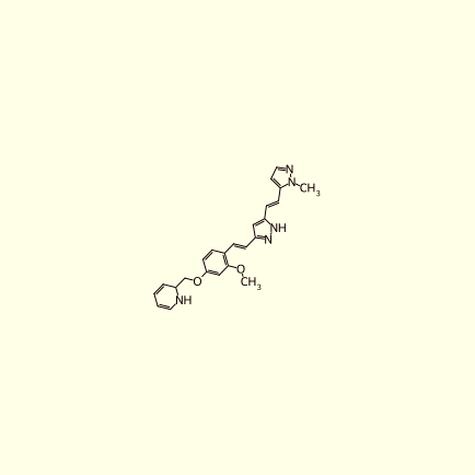 COc1cc(OCC2C=CC=CN2)ccc1/C=C/c1cc(/C=C/c2ccnn2C)[nH]n1